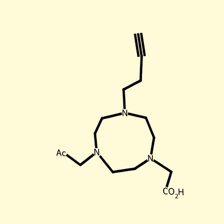 C#CCCN1CCN(CC(C)=O)CCN(CC(=O)O)CC1